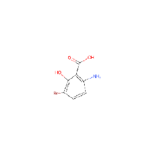 Nc1ccc(Br)c(O)c1C(=O)O